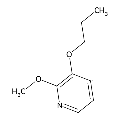 CCCOc1[c]ccnc1OC